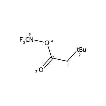 CC(C)(C)CC(=O)ONC(F)(F)F